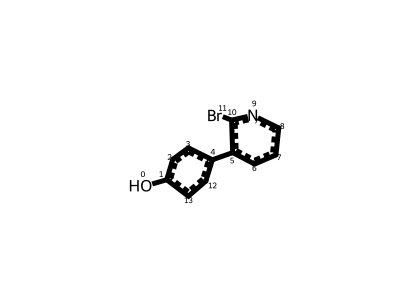 Oc1ccc(-c2cccnc2Br)cc1